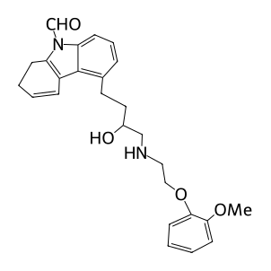 COc1ccccc1OCCNCC(O)CCc1cccc2c1c1c(n2C=O)CCC=C1